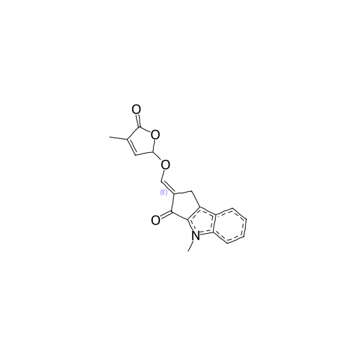 CC1=CC(O/C=C2\Cc3c(n(C)c4ccccc34)C2=O)OC1=O